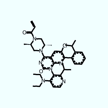 C=CC(=O)N1C[C@H](C)N(c2nc(=O)n(-c3c(N(CC)CC)ccnc3C(C)C)c3nc(-c4ccccc4C(C)C)c(Cl)cc23)C[C@H]1C